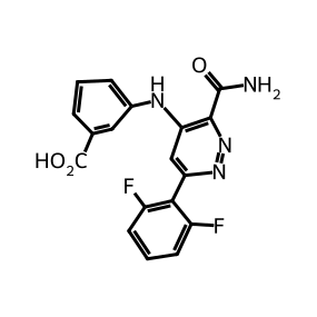 NC(=O)c1nnc(-c2c(F)cccc2F)cc1Nc1cccc(C(=O)O)c1